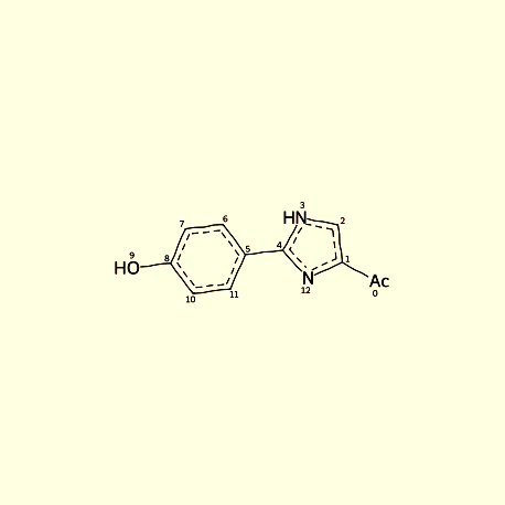 CC(=O)c1c[nH]c(-c2ccc(O)cc2)n1